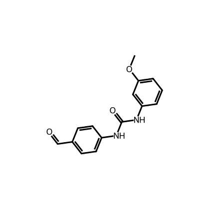 COc1cccc(NC(=O)Nc2ccc(C=O)cc2)c1